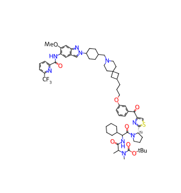 COc1cc2nn(C3CCC(CN4CCC5(CC4)CC(CCCOc4cccc(C(=O)c6csc([C@@H]7CCCN7C(=O)C(NC(=O)C(C)N(C)C(=O)OC(C)(C)C)C7CCCCC7)n6)c4)C5)CC3)cc2cc1NC(=O)c1cccc(C(F)(F)F)n1